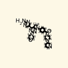 Nc1ncc(-c2nc(N3CCOCC3)nc3c2CCN3c2ccc(C(=O)N3CCN(c4cccnc4)CC3)cc2)cn1